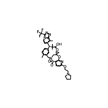 Cc1ccc([C@@H](c2ccn3c(C(F)(F)F)nnc3c2C)C(C)(C)C(=O)O)cc1CN1CC2(CC2)Oc2nc(OCCN3CCCC3)ccc2S1(=O)=O